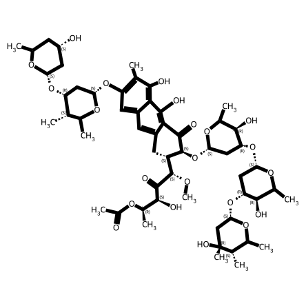 CO[C@H](C(=O)[C@@H](O)[C@@H](C)OC(C)=O)[C@@H]1Cc2cc3cc(O[C@H]4C[C@@H](O[C@H]5C[C@@H](O)CC(C)O5)[C@@H](C)C(C)O4)c(C)c(O)c3c(O)c2C(=O)[C@H]1O[C@H]1C[C@@H](O[C@H]2C[C@@H](O[C@H]3C[C@@](C)(O)[C@@H](C)C(C)O3)[C@H](O)C(C)O2)[C@H](O)C(C)O1